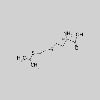 CC(C)SCCSCC[C@H](N)C(=O)O